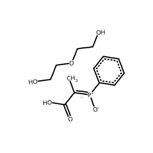 C/C(C(=O)O)=[P+](/[O-])c1ccccc1.OCCOCCO